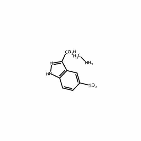 CN.O=C(O)c1n[nH]c2ccc([N+](=O)[O-])cc12